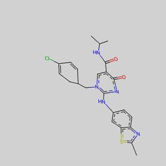 Cc1nc2ccc(Nc3nc(=O)c(C(=O)NC(C)C)cn3CC3C=CC(Cl)=CC3)cc2s1